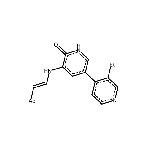 CCc1cnccc1-c1c[nH]c(=O)c(NC=CC(C)=O)c1